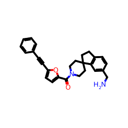 NCc1ccc2c(c1)C1(CC2)CCN(C(=O)c2ccc(C#Cc3ccccc3)o2)CC1